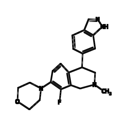 CN1Cc2c(ccc(N3CCOCC3)c2F)C(c2ccc3cn[nH]c3c2)C1